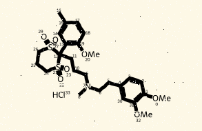 COc1ccc(CCN(C)CCCC2(c3cc(C)ccc3OC)S(=O)(=O)CCCS2(=O)=O)cc1OC.Cl